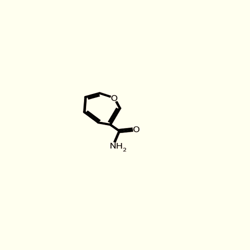 NC(=O)C1=COC=CC=C1